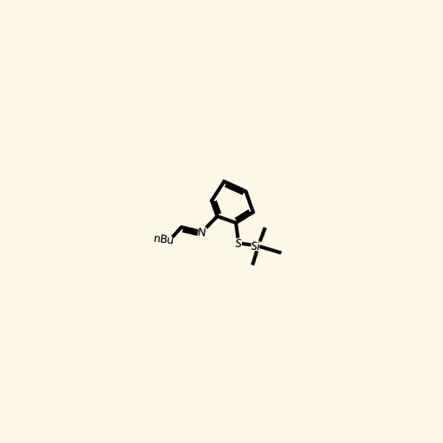 CCCC/C=N/c1ccccc1S[Si](C)(C)C